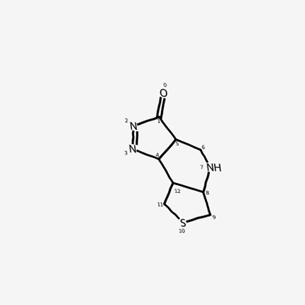 O=C1N=NC2C1CNC1CSCC12